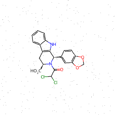 O=C(O)[C@H]1Cc2c([nH]c3ccccc23)[C@@H](c2ccc3c(c2)OCO3)N1C(=O)C(Cl)Cl